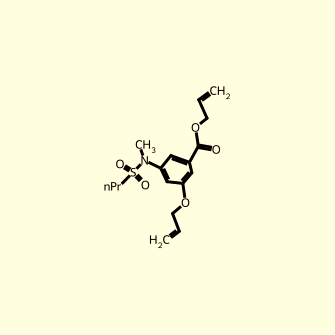 C=CCOC(=O)c1cc(OCC=C)cc(N(C)S(=O)(=O)CCC)c1